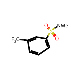 CNS(=O)(=O)c1c[c]cc(C(F)(F)F)c1